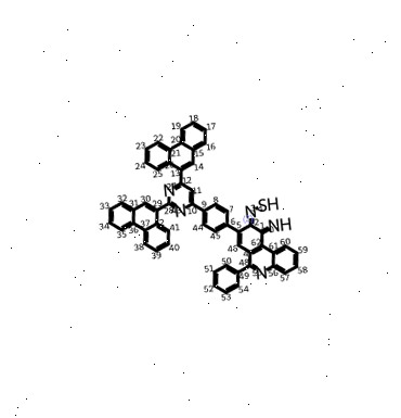 N=C1/C(=N\S)C(c2ccc(-c3cc(-c4cc5ccccc5c5ccccc45)nc(-c4cc5ccccc5c5ccccc45)n3)cc2)=Cc2c(-c3ccccc3)nc3ccccc3c21